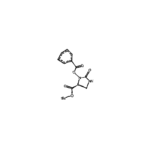 CC(C)(C)OC(=O)[C@@H]1CNC(=O)N1OC(=O)c1ccccc1